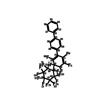 FC1=C(F)C(F)C(F)(C2(F)C(F)(F)C(F)(F)C(F)(F)C(F)(F)C2(F)F)C(F)=C1c1ccc(-c2ccccc2)cc1